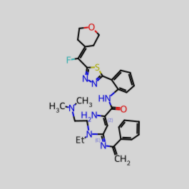 C=C(/N=C(\C=C(/N)C(=O)Nc1ccccc1-c1nnc(C(F)=C2CCOCC2)s1)N(CC)CCN(C)C)c1ccccc1